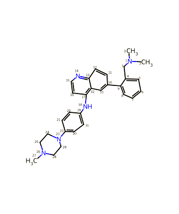 CN(C)Cc1ccccc1-c1ccc2nccc(Nc3ccc(N4CCN(C)CC4)cc3)c2c1